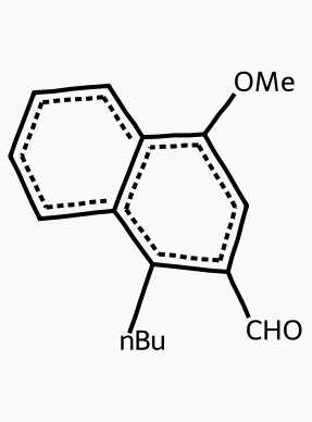 CCCCc1c(C=O)cc(OC)c2ccccc12